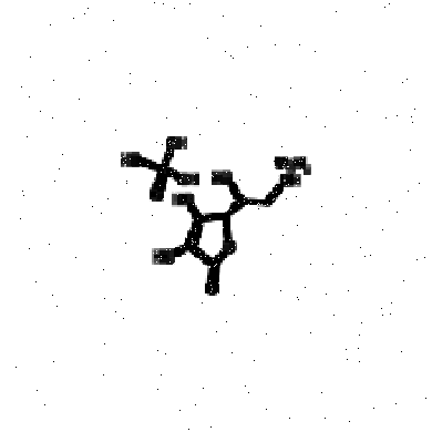 O=C1O[C@H](C(O)CO)C(O)=C1O.O=P(O)(O)O.[MgH2]